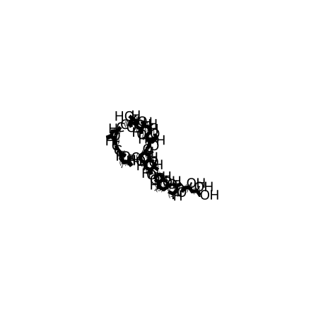 C=C1C[C@@H]2CC[C@]34OC5[C@@H]6O[C@H]7CC[C@H](CC(=O)O[C@@H]8[C@@H](C)[C@@H]9O[C@@H]%10C[C@@]%11(C[C@@H]%12O[C@]%13(C[C@H](C)[C@@H]%14O[C@H]([C@@H](O)C[C@@H](O)CO)C[C@@H]%14O%13)C[C@H](C)[C@@H]%12O%11)O[C@@H]%10C[C@@H]9O[C@H]8C[C@H]8O[C@@H](CC[C@@H]1O2)C[C@@H](C)C8=C)O[C@@H]7[C@H](O3)[C@@H]6O[C@@]5(C)[C@H]4O